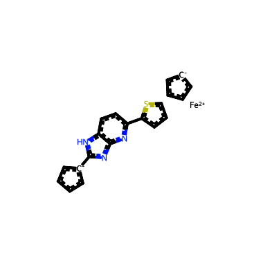 [Fe+2].c1cc[cH-]c1.c1csc(-c2ccc3[nH]c(-[c-]4cccc4)nc3n2)c1